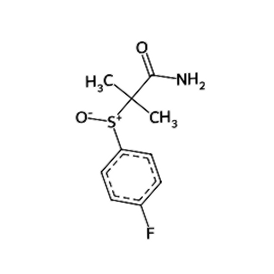 CC(C)(C(N)=O)[S+]([O-])c1ccc(F)cc1